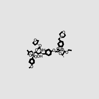 CCOC(=O)[C@H](C)OP(=O)(COc1ccc(C[C@H](NC(=O)O[C@@H]2CCOC2)[C@H](O)CN(CC(C)C)S(=O)(=O)c2ccc(OC)cc2)cc1)Oc1cccc(CN2CCOCC2)c1